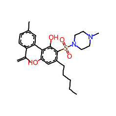 C=C(C)c1ccc(C)cc1-c1c(O)cc(CCCCC)c(S(=O)(=O)N2CCN(C)CC2)c1O